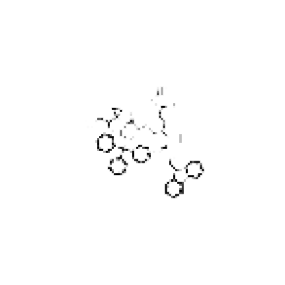 CC(=O)CC(O)C1(NC(=O)[C@@H](CSC(c2ccccc2)(c2ccccc2)c2ccccc2)NC[C@@H](CCC(=O)OC(C)(C)C)NC(=O)OCC2c3ccccc3-c3ccccc32)CC1